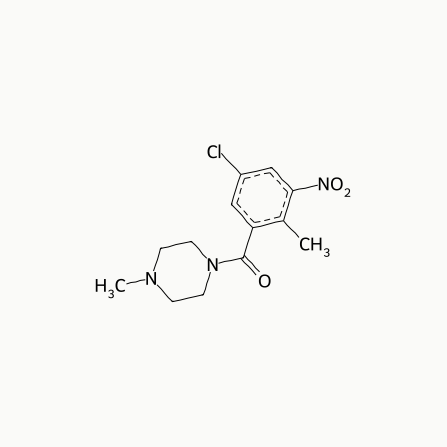 Cc1c(C(=O)N2CCN(C)CC2)cc(Cl)cc1[N+](=O)[O-]